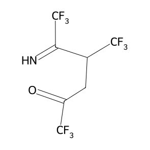 N=C(C(CC(=O)C(F)(F)F)C(F)(F)F)C(F)(F)F